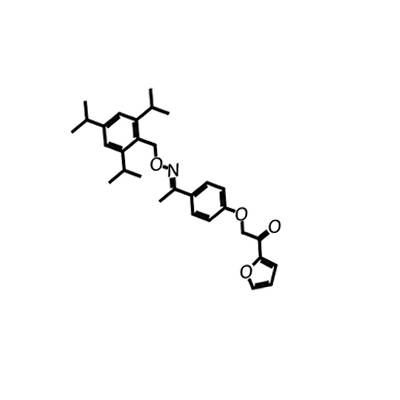 C/C(=N\OCc1c(C(C)C)cc(C(C)C)cc1C(C)C)c1ccc(OCC(=O)c2ccco2)cc1